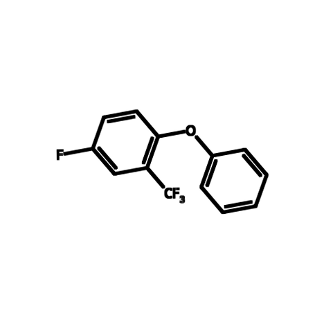 Fc1ccc(Oc2ccccc2)c(C(F)(F)F)c1